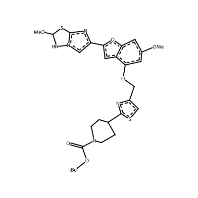 COc1cc(OCc2csc(C3CCN(C(=O)OC(C)(C)C)CC3)n2)c2cc(-c3cn4c(n3)SC(OC)N4)oc2c1